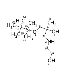 CC(O)(CNCCO)CO[Si](C)(C)C(C)(C)C